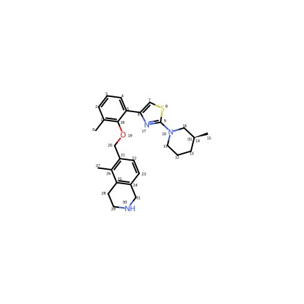 Cc1cccc(-c2csc(N3CCC[C@H](C)C3)n2)c1OCc1ccc2c(c1C)CCNC2